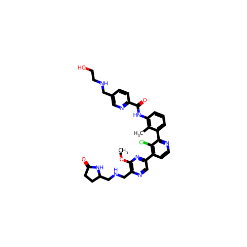 COc1nc(-c2ccnc(-c3cccc(NC(=O)c4ccc(CNCCO)cn4)c3C)c2Cl)cnc1CNCC1CCC(=O)N1